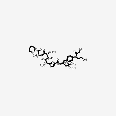 CCCCCCN(C(=O)[C@@H](NC(=O)[C@H]1CCCCN1C)[C@@H](C)CC)[C@H](C[C@@H](OC(C)=O)c1nc(C(=O)N[C@@H](Cc2ccc(N(CCO)C(=O)CN)cc2)CC(C)(C)C(=O)O)cs1)C(C)C